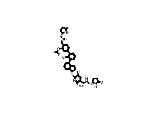 COc1nc(O[C@H]2CCc3c(-c4cccc(-c5ccc(CNC[C@@H]6CCC(=O)N6)c(OC(F)F)c5)c4Cl)cccc32)c(Cl)cc1CNC[C@@H]1CCC(=O)N1